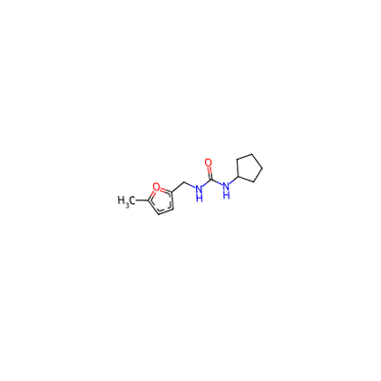 Cc1ccc(CNC(=O)NC2CCCC2)o1